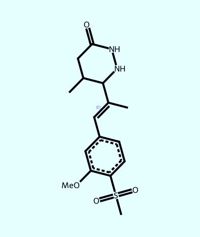 COc1cc(/C=C(\C)C2NNC(=O)CC2C)ccc1S(C)(=O)=O